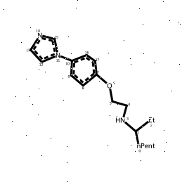 CCCCCC(CC)NCCOc1ccc(-n2ccnc2)cc1